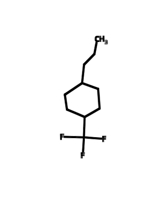 CCCC1CCC(C(F)(F)F)CC1